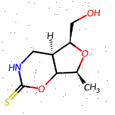 C[C@@H]1O[C@H](CO)[C@@H]2CNC(=S)OC12